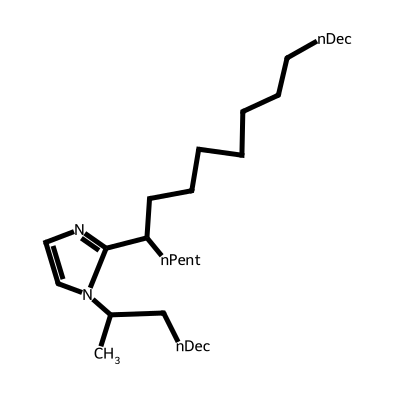 CCCCCCCCCCCCCCCCCC(CCCCC)c1nccn1C(C)CCCCCCCCCCC